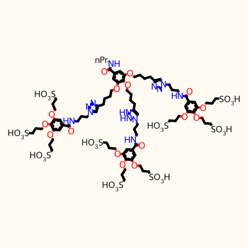 CCCNC(=O)c1cc(OCCCCc2cn(CCCNC(=O)c3cc(OCCCS(=O)(=O)O)c(OCCCS(=O)(=O)O)c(OCCCS(=O)(=O)O)c3)nn2)c(OCCCCC2=CN(CCCNC(=O)c3cc(OCCCS(=O)(=O)O)c(OCCCS(=O)(=O)O)c(OCCCS(=O)(=O)O)c3)NN2)c(OCCCCc2cn(CCCNC(=O)c3cc(OCCCS(=O)(=O)O)c(OCCCS(=O)(=O)O)c(OCCCS(=O)(=O)O)c3)nn2)c1